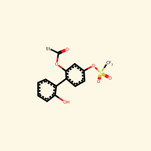 CCC(=O)Oc1cc(OS(=O)(=O)C(F)(F)F)ccc1-c1ccccc1O